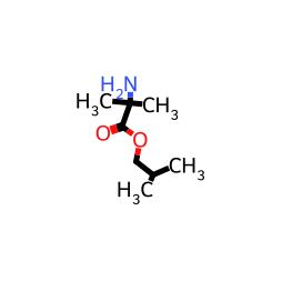 CC(C)COC(=O)C(C)(C)N